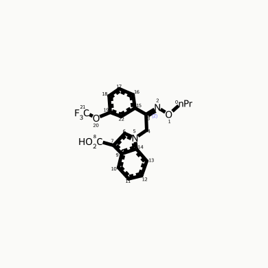 CCCO/N=C(\Cn1cc(C(=O)O)c2ccccc21)c1cccc(OC(F)(F)F)c1